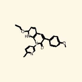 CCOC1C=Cc2cc(-c3ccc(OC)cc3)c(=O)n(-c3ccc(C)nc3)c2N1